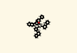 c1ccc(-c2cccc(-c3nc(-c4c(-n5c6ccccc6c6cc7ccccc7cc65)ccc5c4oc4ccc6ccccc6c45)nc(-c4cccc5c4sc4ccccc45)n3)c2)cc1